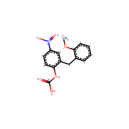 COc1ccccc1Cc1cc([N+](=O)[O-])ccc1OC(=O)O